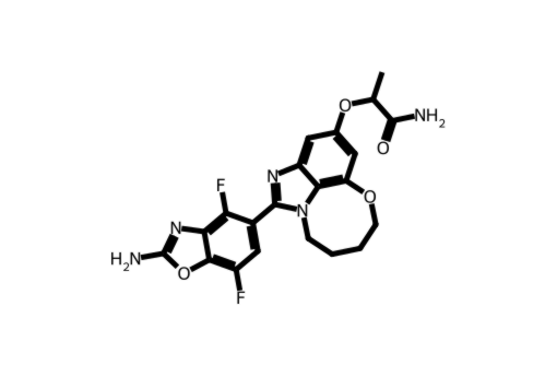 CC(Oc1cc2c3c(c1)nc(-c1cc(F)c4oc(N)nc4c1F)n3CCCCO2)C(N)=O